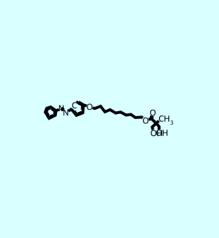 CC(CO)(CO)C(=O)OCCCCCCCCCCOc1ccc(N=Nc2ccccc2)cc1